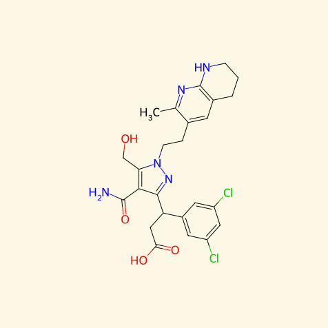 Cc1nc2c(cc1CCn1nc(C(CC(=O)O)c3cc(Cl)cc(Cl)c3)c(C(N)=O)c1CO)CCCN2